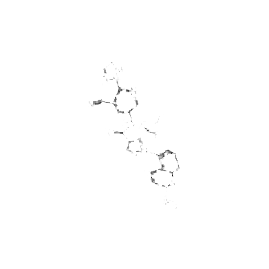 Bc1ccc2c(-n3ncc(C(=O)Nc4cnc(N5N=CCN5)c(C#N)c4)c3C(F)(F)F)cccc2n1